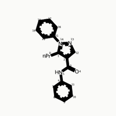 CCCc1c(C(=O)Nc2ccccc2)cnn1-c1ccccc1